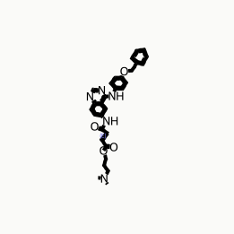 CN(C)CCCOC(=O)/C=C/C(=O)Nc1ccc2ncnc(Nc3ccc(OCc4ccccc4)cc3)c2c1